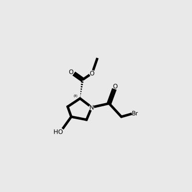 COC(=O)[C@H]1CC(O)CN1C(=O)CBr